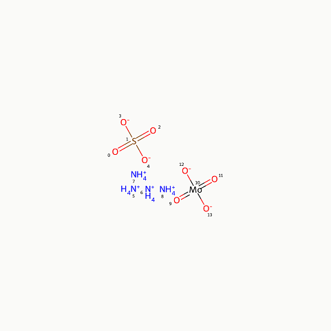 O=S(=O)([O-])[O-].[NH4+].[NH4+].[NH4+].[NH4+].[O]=[Mo](=[O])([O-])[O-]